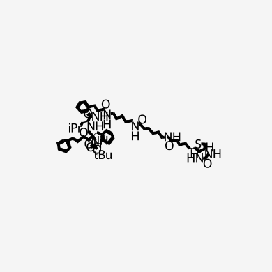 CC(C)C[C@H](NC(=O)[C@@](Cc1ccccc1)(NC(=O)OC(C)(C)C)[C@H](O)CCCc1ccccc1)C(=O)NC(Cc1ccccc1)C(=O)NCCCCCNC(=O)CCCCCNC(=O)CCCC[C@@H]1SC[C@@H]2NC(=O)N[C@@H]21